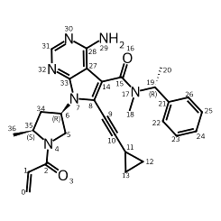 C=CC(=O)N1C[C@H](n2c(C#CC3CC3)c(C(=O)N(C)[C@H](C)c3ccccc3)c3c(N)ncnc32)C[C@@H]1C